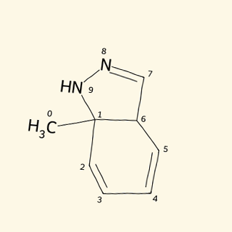 CC12C=CC=CC1C=NN2